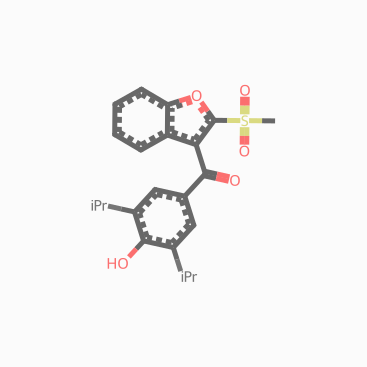 CC(C)c1cc(C(=O)c2c(S(C)(=O)=O)oc3ccccc23)cc(C(C)C)c1O